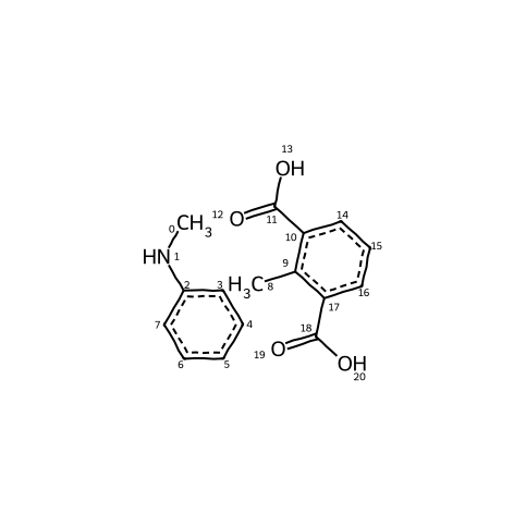 CNc1ccccc1.Cc1c(C(=O)O)cccc1C(=O)O